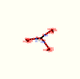 CC(CCCCC(=O)NCCOCCOCCO[C@H]1OC(CO)[C@@H](O)C(O)C1O)(COCCC(=O)NCCOCCOCCO[C@H]1OC(CO)[C@@H](O)C(O)C1O)COCCC(=O)NCCOCCOCCO[C@H]1OC(CO)[C@@H](O)C(O)C1O